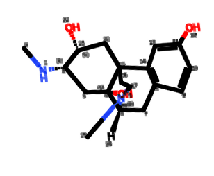 CN[C@H]1C[C@@]2(O)[C@H]3Cc4ccc(O)cc4C2(CCN3C)C[C@H]1O